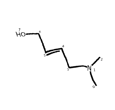 CN(C)CC=CCO